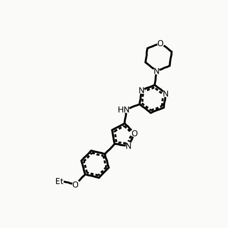 CCOc1ccc(-c2cc(Nc3ccnc(N4CCOCC4)n3)on2)cc1